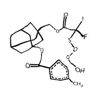 Cc1ccc(C(=O)OC23CC4CC(CC(COC(=O)C(F)(F)SOOO)(C4)C2)C3)cc1